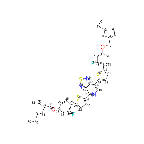 CCCCC(CC)COc1ccc(C2CC=C(c3cnc(C4=CCC(c5ccc(OCC(CC)CCCC)cc5F)S4)c4nsnc34)S2)c(F)c1